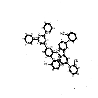 N#Cc1ccccc1-c1ccc2c(c1)c1cc(-c3ccccc3C#N)ccc1n2-c1cc(-c2nc(-c3ccccc3)nc(-c3ccccc3)n2)ccc1-c1ccccc1F